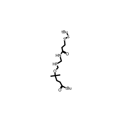 CC(C)(CCC(=O)C(C)(C)C)OCPCNC(=O)CCSSC(C)(C)C